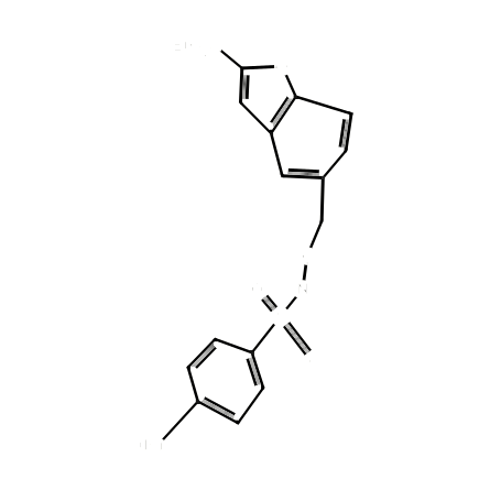 CCOC(=O)c1cc2cc(CCNS(=O)(=O)c3ccc(C(C)(C)C)cc3)ccc2o1